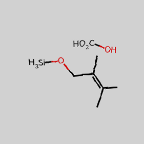 CC(C)=C(C)CO[SiH3].O=C(O)O